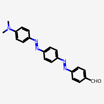 CN(C)c1ccc(N=Nc2ccc(N=Nc3ccc(C=O)cc3)cc2)cc1